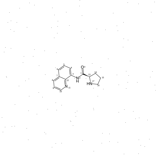 O=C(Nc1cccc2cccnc12)[C@H]1CCCN1